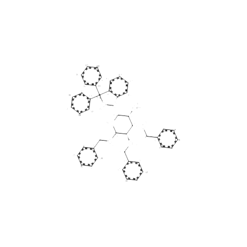 O[C@H]1[C@H](OCc2ccccc2)[C@@H](OCc2ccccc2)C(OCc2ccccc2)O[C@@H]1COC(c1ccccc1)(c1ccccc1)c1ccccc1